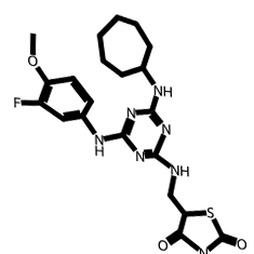 COc1ccc(Nc2nc(NCC3SC(=O)NC3=O)nc(NC3CCCCCC3)n2)cc1F